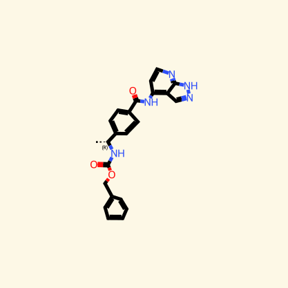 C[C@@H](NC(=O)OCc1ccccc1)c1ccc(C(=O)Nc2ccnc3[nH]ncc23)cc1